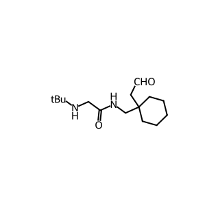 CC(C)(C)NCC(=O)NCC1(CC=O)CCCCC1